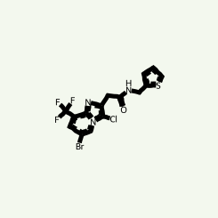 O=C(Cc1nc2c(C(F)(F)F)cc(Br)cn2c1Cl)NCc1cccs1